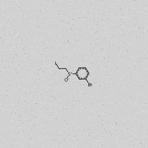 [O-][S+](CCI)c1cccc(Br)c1